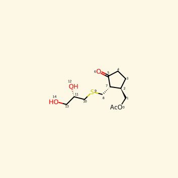 CC(=O)OC[C@@H]1CCC(=O)[C@H]1CSC[C@@H](O)CO